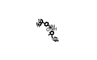 Cc1cc(NC(=O)Nc2ccc(-c3ccnc4c3cnn4C)cc2)ccc1CN1CCN(C)CC1